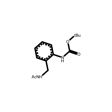 CC(=O)NCc1ccccc1NC(=O)OC(C)(C)C